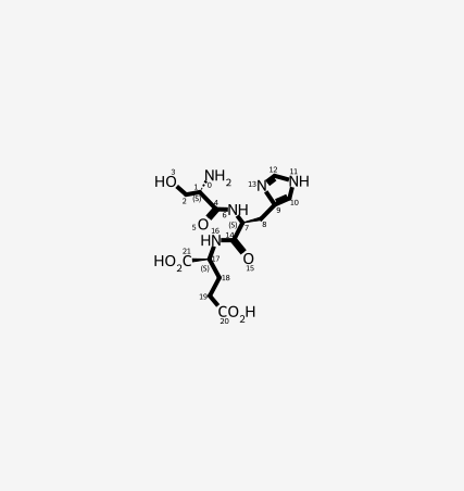 N[C@@H](CO)C(=O)N[C@@H](Cc1c[nH]cn1)C(=O)N[C@@H](CCC(=O)O)C(=O)O